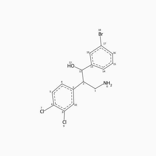 NCC(c1ccc(Cl)c(Cl)c1)C(O)c1cccc(Br)c1